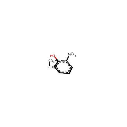 CC(=O)O.O=[N+]([O-])c1ccccc1O